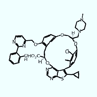 Cc1c2ccc(c1Cl)O[C@H](CN1CCN(C)CC1)COc1ccc(OCc3ccnc(-c4ccccc4O)n3)c(c1)C[C@H](C(=O)O)Oc1ncnc3sc(C4CC4)c-2c13